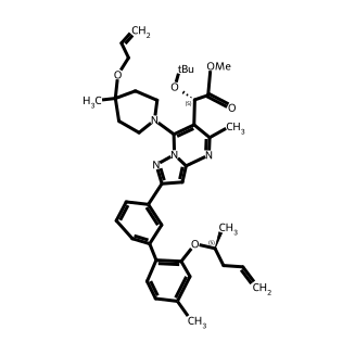 C=CCOC1(C)CCN(c2c([C@H](OC(C)(C)C)C(=O)OC)c(C)nc3cc(-c4cccc(-c5ccc(C)cc5O[C@@H](C)CC=C)c4)nn23)CC1